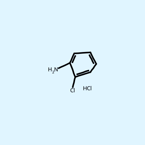 Cl.Nc1ccccc1Cl